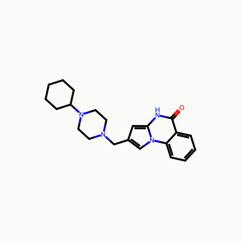 O=c1[nH]c2cc(CN3CCN(C4CCCCC4)CC3)cn2c2ccccc12